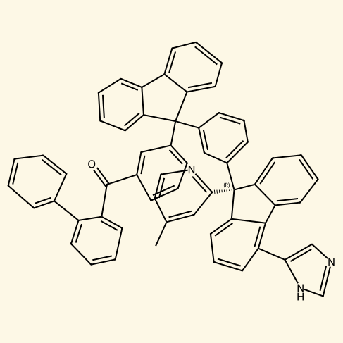 Cc1ccnc([C@]2(c3cccc(C4(c5cccc(C(=O)c6ccccc6-c6ccccc6)c5)c5ccccc5-c5ccccc54)c3)c3ccccc3-c3c(-c4cnc[nH]4)cccc32)c1